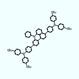 CC(C)(C)c1ccc(B(c2ccc(-c3ccc4c(c3)N(c3ccccc3)c3cccc5c(-c6ccc(B(c7ccc(C(C)(C)C)cc7)c7ccc(C(C)(C)C)cc7)cc6)ccc-4c35)cc2)c2ccc(C(C)(C)C)cc2)cc1